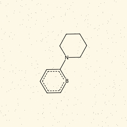 b1ccccc1N1CCCCC1